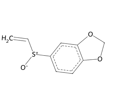 C=C[S+]([O-])c1ccc2c(c1)OCO2